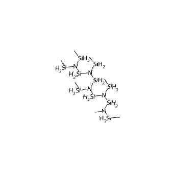 C[SiH2]N(C)[SiH2]N([SiH2]C)[SiH2]N([SiH2]C)[SiH2]N([SiH2]C)[SiH2]N([SiH2]C)[SiH2]C